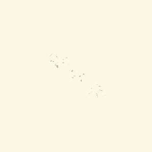 Nc1ccccc1C(=O)OCCNC(=O)C(=O)NCCOC(=O)c1ccccc1N